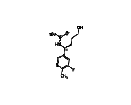 Cc1ncc([C@H](CCCO)N[S+]([O-])C(C)(C)C)cc1F